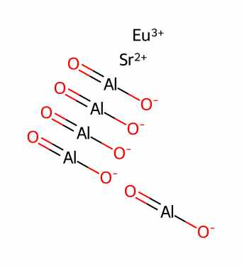 [Eu+3].[O]=[Al][O-].[O]=[Al][O-].[O]=[Al][O-].[O]=[Al][O-].[O]=[Al][O-].[Sr+2]